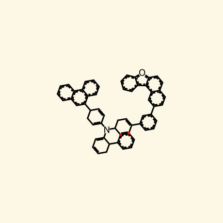 C1=CCC(c2ccccc2)C(N(C2=CCC(c3cc4ccccc4c4ccccc34)C=C2)C2C=CC(c3cccc(-c4ccc5ccc6oc7ccccc7c6c5c4)c3)=CC2)=C1